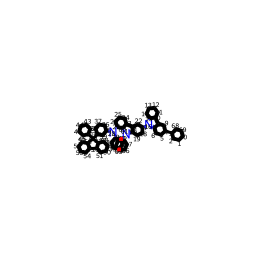 c1ccc(-c2ccc3c(c2)c2ccccc2n3-c2ccc3c(c2)c2cccc(N(c4ccccc4)c4cccc(C5(c6ccccc6)c6ccccc6-c6ccccc65)c4)c2n3-c2ccccc2)cc1